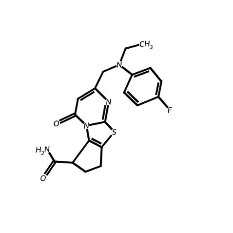 CCN(Cc1cc(=O)n2c3c(sc2n1)CCC3C(N)=O)c1ccc(F)cc1